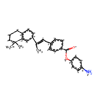 CC(=Cc1ccc(C(=O)Oc2ccc(N)cc2)cc1)c1ccc2c(c1)C(C)(C)CCC2